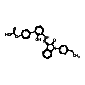 CCc1ccc(N2C(=O)C(=NNc3cccc(-c4ccc(OC(=O)O)cc4)c3O)c3ccccc32)cc1